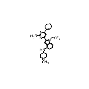 CN1CCC(Nc2cccc3c2cc(-c2cc(C4=CCCCC4)nc(N)n2)n3CC(F)(F)F)CC1